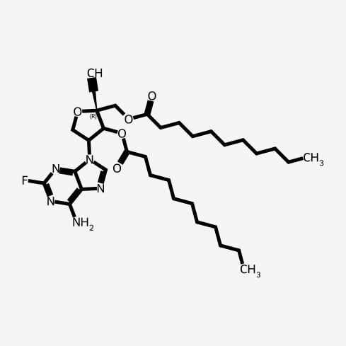 C#C[C@]1(COC(=O)CCCCCCCCCC)OCC(n2cnc3c(N)nc(F)nc32)C1OC(=O)CCCCCCCCCC